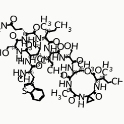 CC[C@H](C)[C@H](NC(=O)[C@@H](Cc1csc2ccccc12)NC)C(=O)N[C@@H](CO)C(=O)N[C@H](CCC(N)=O)C(=O)N[C@@H](C(=O)N[C@H](C(=O)N[C@@H](CO)C(=O)N[C@H]1C(=O)N[C@@H](C)C(=O)NC2(CC2)C(=O)N[C@@H]([C@@H](C)CC)C(=O)O[C@H]1C)[C@@H](C)CC)[C@@H](C)CC